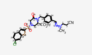 CN(CCC#N)N=Cc1ccc(CN2C(=O)CN(S(=O)(=O)c3cc4ccc(Cl)cc4s3)C[C@@H]2C(=O)O)cc1